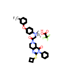 CN(CC(=O)N1CCc2nc(SC3CCC3)n(-c3ccccc3)c(=O)c2C1)c1ccc(Oc2cccc(C(F)(F)F)c2)cc1.O=C(O)C(F)(F)F